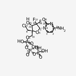 Nc1ccn([C@@H]2O[C@](CCl)(COP(=O)(O)OP(=O)(O)OP(=O)(O)O)[C@@H](O)C2(F)F)c(=O)n1